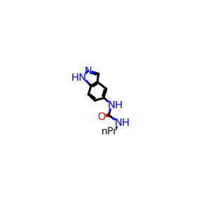 CCCNC(=O)Nc1ccc2[nH]ncc2c1